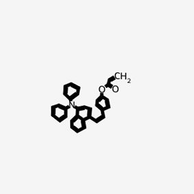 C=CC(=O)Oc1ccc(/C=C\c2ccc(N(c3ccccc3)c3ccccc3)c3ccccc23)cc1